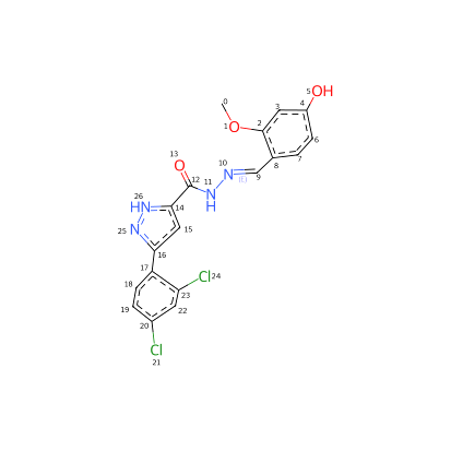 COc1cc(O)ccc1/C=N/NC(=O)c1cc(-c2ccc(Cl)cc2Cl)n[nH]1